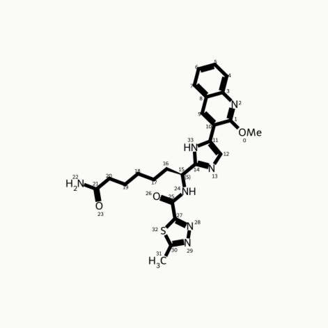 COc1nc2ccccc2cc1-c1cnc([C@H](CCCCCC(N)=O)NC(=O)c2nnc(C)s2)[nH]1